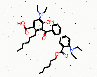 CCCCCCOC(=O)c1ccccc1N(CC)CC.CCCCCCc1c(C(=O)O)cc(N(CC)CC)c(O)c1C(=O)c1ccccc1